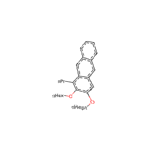 CCCCCCCOc1cc2cc3ccccc3cc2c(CCC)c1OCCCCCC